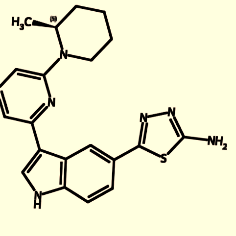 C[C@H]1CCCCN1c1cccc(-c2c[nH]c3ccc(-c4nnc(N)s4)cc23)n1